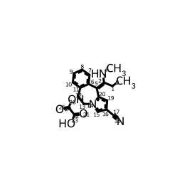 CCC(NC)=C1c2ccccc2CCn2cc(C#N)cc21.O=C(O)C(=O)O